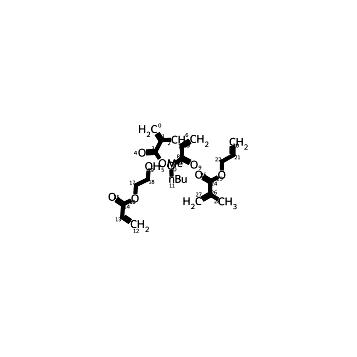 C=C(C)C(=O)OC.C=CC(=O)OCCCC.C=CC(=O)OCCO.C=CCOC(=O)C(=C)C